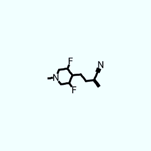 C=C(C#N)CCC1C(F)CN(C)CC1F